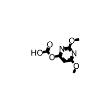 COc1cc(OC(=O)O)nc(OC)n1